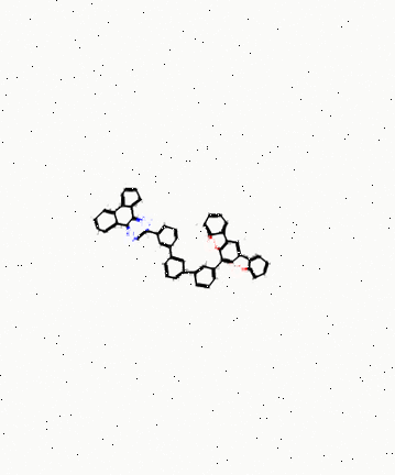 c1cc(-c2cccc(-c3cnc4c5ccccc5c5ccccc5c4n3)c2)cc(-c2cccc(-c3c4oc5ccccc5c4cc4c3oc3ccccc34)c2)c1